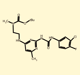 Cc1cc(NCCN(C)C(=O)OC(C)(C)C)nc(NC(=O)Nc2ccc(F)c(Cl)c2)n1